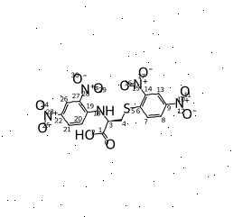 O=C(O)[C@H](CSc1ccc([N+](=O)[O-])cc1[N+](=O)[O-])Nc1ccc([N+](=O)[O-])cc1[N+](=O)[O-]